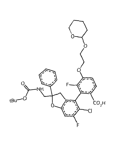 CC(C)(C)OC(=O)NCC1(c2ccccc2)Cc2c(cc(F)c(Cl)c2-c2c(C(=O)O)ccc(OCCOC3CCCCO3)c2F)O1